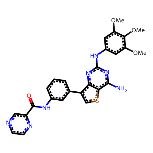 COc1cc(Nc2nc(N)c3scc(-c4cccc(NC(=O)c5cnccn5)c4)c3n2)cc(OC)c1OC